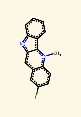 Cn1c2c3ccccc3nc-2cc2cc(F)ccc21